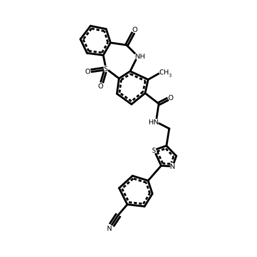 Cc1c(C(=O)NCc2cnc(-c3ccc(C#N)cc3)s2)ccc2c1NC(=O)c1ccccc1S2(=O)=O